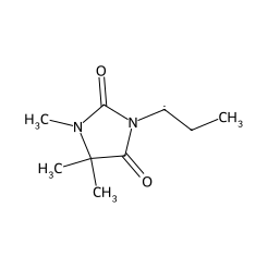 CC[CH]N1C(=O)N(C)C(C)(C)C1=O